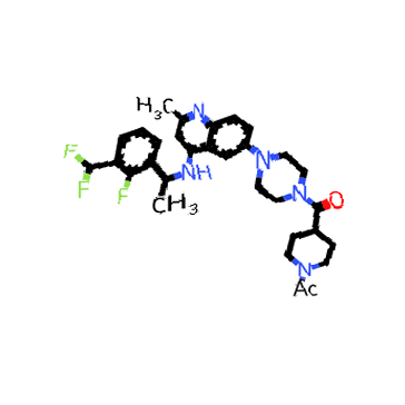 CC(=O)N1CCC(C(=O)N2CCN(c3ccc4nc(C)cc(NC(C)c5cccc(C(F)F)c5F)c4c3)CC2)CC1